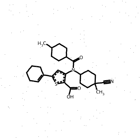 CC1CCC(C(=O)N(c2cc(C3=CCCCC3)sc2C(=O)O)C2CCC(C)(C#N)CC2)CC1